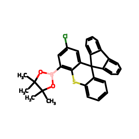 CC1(C)OB(c2cc(Cl)cc3c2Sc2ccccc2C32c3ccccc3-c3ccccc32)OC1(C)C